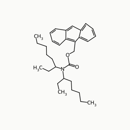 CCCCCC(CC)N(C(=O)OCc1c2ccccc2cc2ccccc12)C(CC)CCCCC